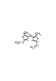 CCC1=C[C]([Zr][C]2=C(C)CC(CC)=C2)=C(C)C1